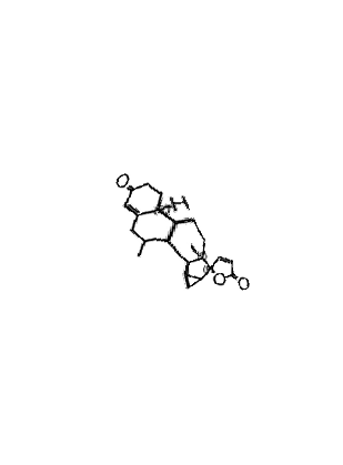 CC1CC2=CC(=O)CC[C@@H]2C2CC[C@@]3(C)C(C4CC4[C@@]34C=CC(=O)O4)C12